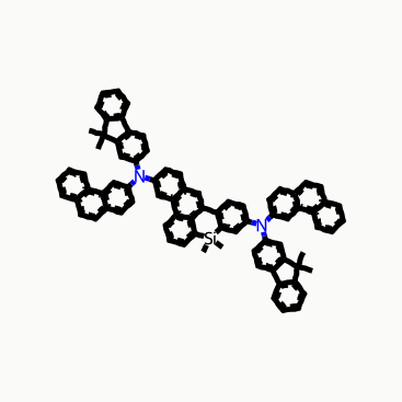 CC1(C)c2ccccc2-c2ccc(N(c3ccc4c(c3)[Si](C)(C)c3cccc5c3c-4cc3ccc(N(c4ccc6c(c4)C(C)(C)c4ccccc4-6)c4ccc6ccc7ccccc7c6c4)cc35)c3ccc4ccc5ccccc5c4c3)cc21